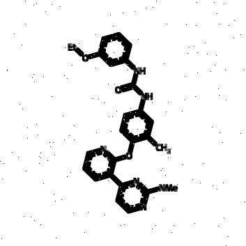 CCOc1cccc(NC(=O)Nc2ccc(Oc3ncccc3-c3ccnc(NC)n3)c(C)c2)c1